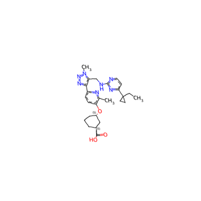 CCC1(c2ccnc(NCc3c(-c4ccc(O[C@H]5CCC[C@H](C(=O)O)C5)c(C)n4)nnn3C)n2)CC1